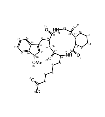 CCC(=O)CCCCCC1NC(=O)C2CCCCN2C(=O)CNC(=O)C(Cc2cn(OC)c3ccccc23)NC1=O